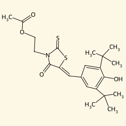 CC(=O)OCCN1C(=O)C(=Cc2cc(C(C)(C)C)c(O)c(C(C)(C)C)c2)SC1=S